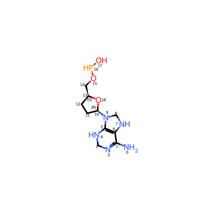 NC1=NCNC2=C1NCN2[C@H]1CC[C@@H](COPO)O1